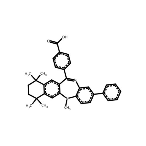 CN1c2ccc(-c3ccccc3)cc2N=C(c2ccc(C(=O)O)cc2)c2cc3c(cc21)C(C)(C)CCC3(C)C